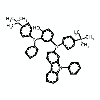 CS(C)(C)c1ccc(N(c2ccc(O)c(N(c3ccccc3)c3ccc(S(C)(C)C)cc3)c2)c2ccc3c4ccccc4n(-c4ccccc4)c3c2)cc1